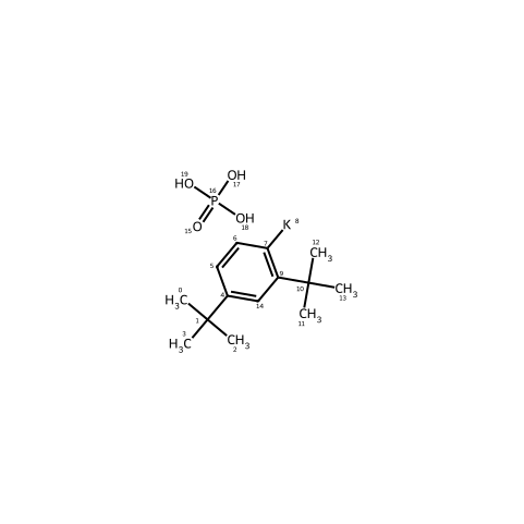 CC(C)(C)c1cc[c]([K])c(C(C)(C)C)c1.O=P(O)(O)O